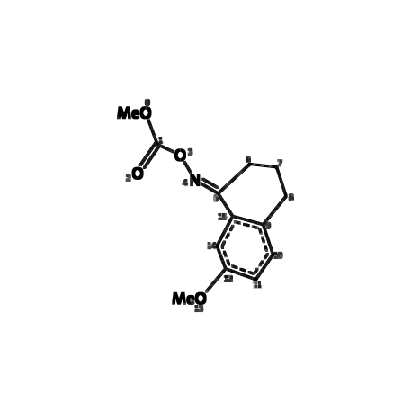 COC(=O)O/N=C1\CCCc2ccc(OC)cc21